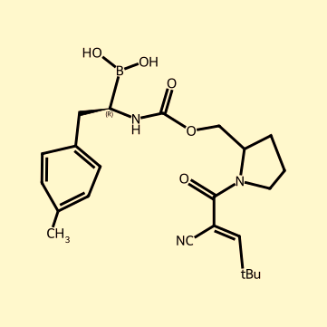 Cc1ccc(C[C@H](NC(=O)OCC2CCCN2C(=O)C(C#N)=CC(C)(C)C)B(O)O)cc1